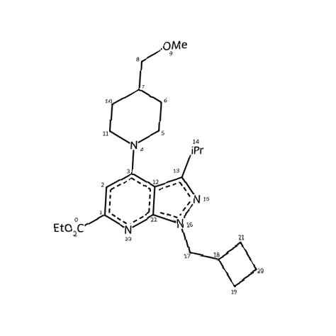 CCOC(=O)c1cc(N2CCC(COC)CC2)c2c(C(C)C)nn(CC3CCC3)c2n1